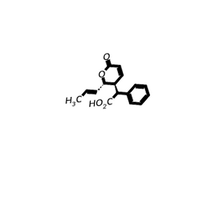 C/C=C/[C@@H]1OC(=O)C=C[C@H]1C(C(=O)O)c1ccccc1